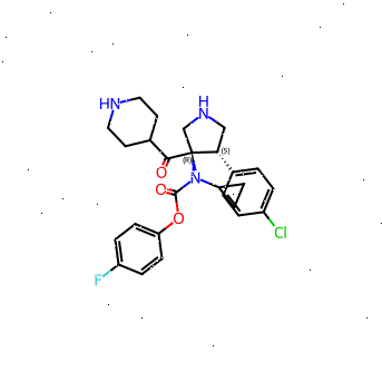 O=C(Oc1ccc(F)cc1)N(C1CC1)[C@@]1(C(=O)C2CCNCC2)CNC[C@@H]1c1ccc(Cl)cc1